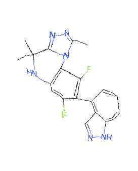 Cc1nnc2n1-c1c(cc(F)c(-c3cccc4[nH]ncc34)c1F)NC2(C)C